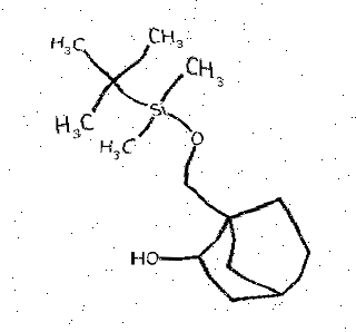 CC(C)(C)[Si](C)(C)OCC12CCC(CC1O)C2